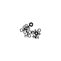 Cn1c(=O)c2c(ncn2C)n(C)c1=O.O=C1O[C@H]([C@@H](O)CO)C(OC(=O)c2ccccc2)=C1O